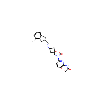 N#Cc1cccc2c1CC(CNC1CC3(C1)CN(c1ccc4c(n1)NC(=O)CO4)C(=O)O3)C2